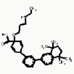 CCNCCCOC1(C(=O)O)C=CC(c2cccc(-c3ccc4c(c3)C(C)(C)CCC4(C)C)c2)C=C1